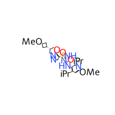 COc1cc(C(C)C)c(NC(=O)N=S(N)(=O)c2cnn3c2OC[C@@H](C2CC(OC)C2)C3)c(C(C)C)n1